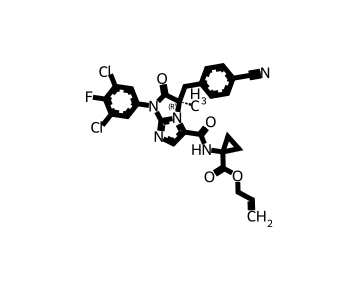 C=CCOC(=O)C1(NC(=O)c2cnc3n2[C@](C)(Cc2ccc(C#N)cc2)C(=O)N3c2cc(Cl)c(F)c(Cl)c2)CC1